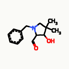 CC1(C)CN(Cc2ccccc2)C(C=O)C1O